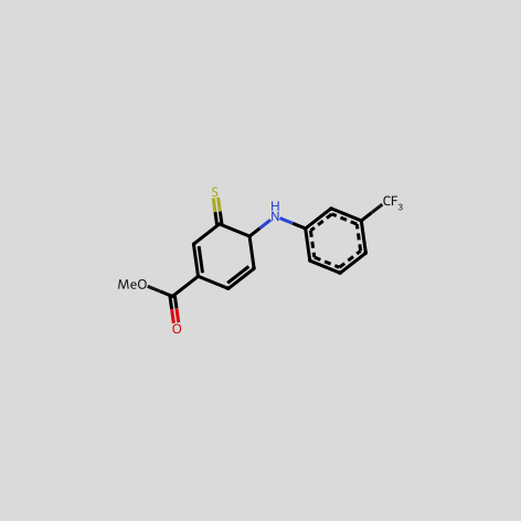 COC(=O)C1=CC(=S)C(Nc2cccc(C(F)(F)F)c2)C=C1